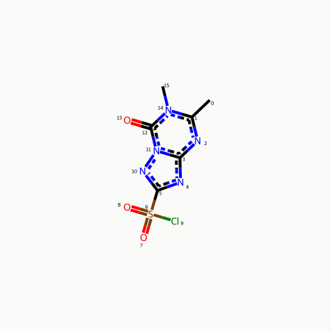 Cc1nc2nc(S(=O)(=O)Cl)nn2c(=O)n1C